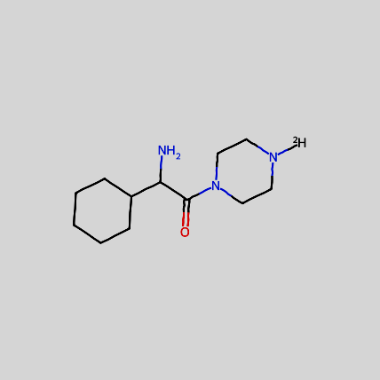 [2H]N1CCN(C(=O)C(N)C2CCCCC2)CC1